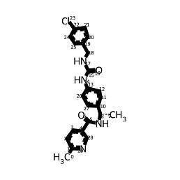 Cc1ccc(C(=O)N[C@@H](C)c2ccc(NC(=O)NCc3ccc(Cl)cc3)cc2)cn1